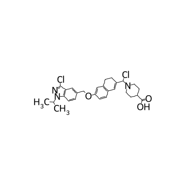 CC(C)n1nc(Cl)c2cc(COc3ccc4c(c3)CCC(C(Cl)N3CCC(C(=O)O)CC3)=C4)ccc21